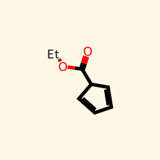 CCOC(=O)C1C=CC=C1